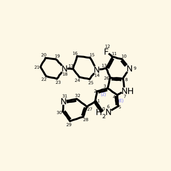 C=C(/C=c1\c(=C/N)[nH]c2ncc(F)c(N3CCC(N4CCCCC4)CC3)c12)c1cccnc1